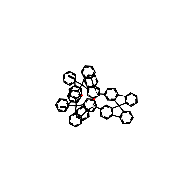 C=Cc1ccc(C2(c3ccccc3)c3ccccc3-c3ccc(N(c4ccccc4)c4ccc5c(c4)C4(c6ccccc6-5)c5ccccc5-c5ccc(N(c6ccccc6)c6ccc7c(c6)C(c6ccccc6)(c6ccc(C=C)cc6)c6ccccc6-7)cc54)cc32)cc1